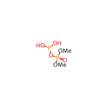 COP(=O)(OC)OP(O)O